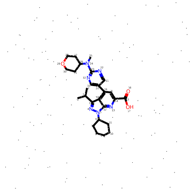 CC(C)c1nn(C2CCCCC2)c2nc(C(=O)O)cc(-c3cnc(N(C)C4CCOCC4)nc3)c12